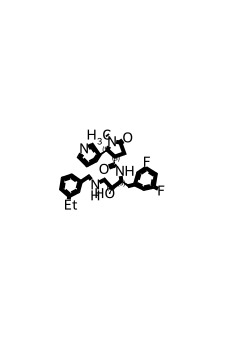 CCc1cccc(CNC[C@@H](O)[C@H](Cc2cc(F)cc(F)c2)NC(=O)[C@H]2CC(=O)N(C)[C@@H]2c2cccnc2)c1